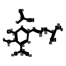 CC(=O)O.COc1c(Cl)cc(C=NNC(=N)N)cc1[N+](=O)[O-]